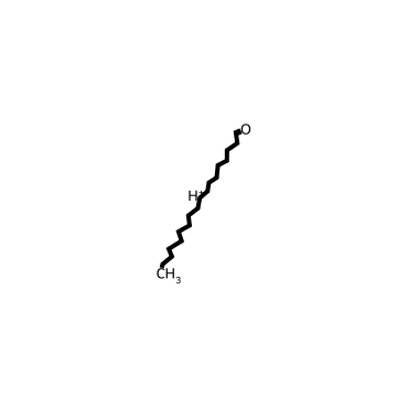 CCCCCCCCCCCCCCCCCC=O.[H+]